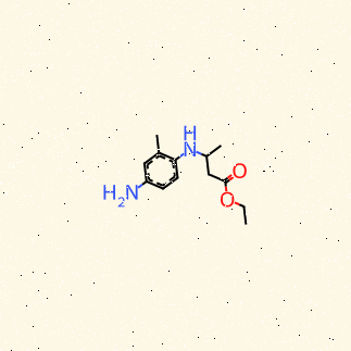 CCOC(=O)CC(C)Nc1ccc(N)cc1C